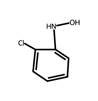 ONc1ccccc1Cl